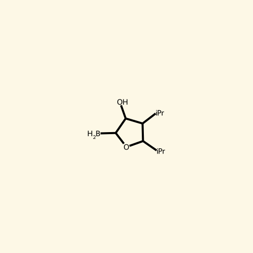 BC1OC(C(C)C)C(C(C)C)C1O